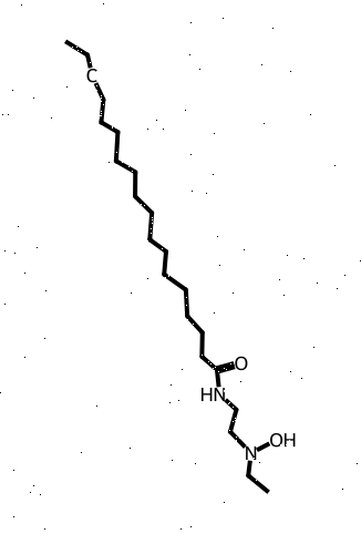 CCCCCCCCCCCCCCCCCC(=O)NCCN(O)CC